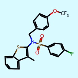 Cc1c(N(Cc2ccc(OC(F)(F)F)cc2)S(=O)(=O)c2ccc(F)cc2)sc2ccccc12